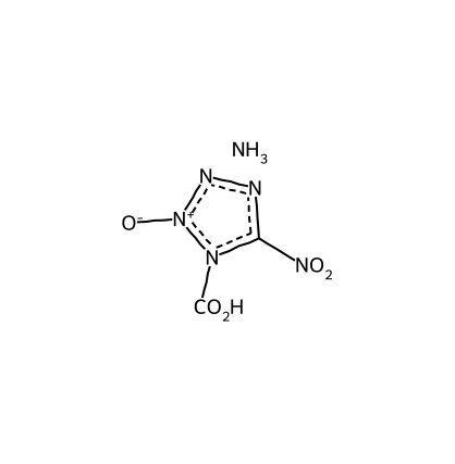 N.O=C(O)n1c([N+](=O)[O-])nn[n+]1[O-]